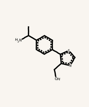 CC(N)c1ccc(-c2scnc2CO)cc1